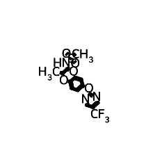 CC(Oc1ccc(Oc2ncc(C(F)(F)F)cn2)cc1)C(=O)NS(C)(=O)=O